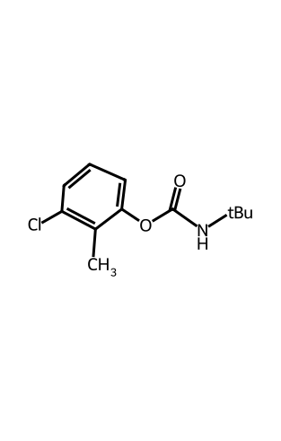 Cc1c(Cl)cccc1OC(=O)NC(C)(C)C